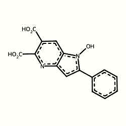 O=C(O)c1cc2c(cc(-c3ccccc3)n2O)nc1C(=O)O